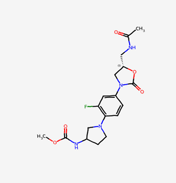 COC(=O)NC1CCN(c2ccc(N3C[C@H](CNC(C)=O)OC3=O)cc2F)C1